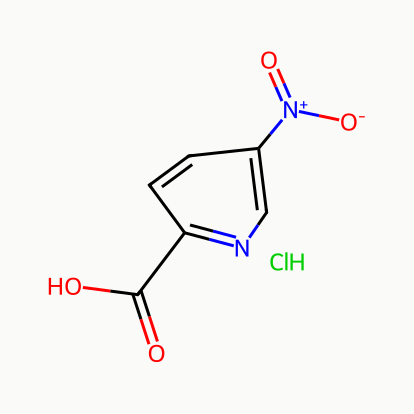 Cl.O=C(O)c1ccc([N+](=O)[O-])cn1